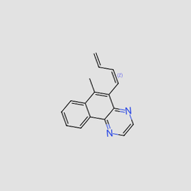 C=C/C=C\c1c(C)c2ccccc2c2nccnc12